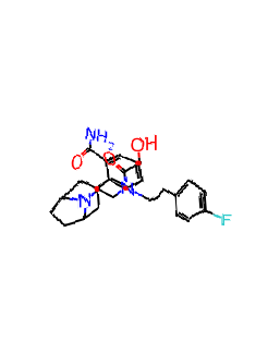 NC(=O)c1ccccc1C1CC2CCC(C1)N2CCN(CCc1ccc(F)cc1)C(=O)CO